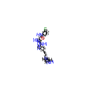 O=C(Cc1cc(Nc2ncnc3cc(C#CCCN4C[C@@H]5C[C@H]4CN5)ccc23)n[nH]1)Nc1cccc(F)c1